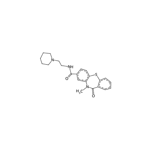 CN1C(=O)c2ccccc2Sc2ccc(C(=O)NCCN3CCCCC3)cc21